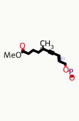 COC(=O)CCC[C@@H](C)C#C/C=C/COP=O